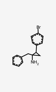 NC1(Cc2ccccc2)CC1c1ccc(Br)cc1